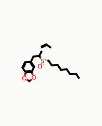 C=CC.CCCCCCCC[S+]([O-])C(C)Cc1ccc2c(c1)OCO2